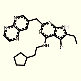 CCc1[nH]c2nc(Cc3cnc4nccnc4c3)nc(NCCC3CCCC3)c2c1Cl